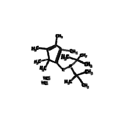 CC1=C(C)C(C)(C)[C]([Ti][P](C(C)(C)C)C(C)(C)C)=C1C.Cl.Cl